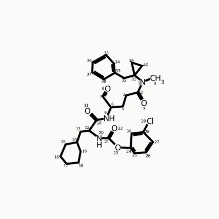 CN(C(=O)CCC(C=O)NC(=O)C(CC1CCCCC1)NC(=O)Oc1cccc(Cl)c1)C1(Cc2ccccc2)CC1